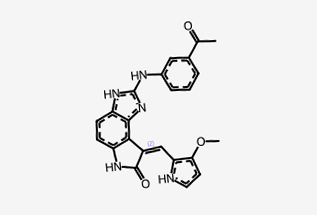 COc1cc[nH]c1/C=C1\C(=O)Nc2ccc3[nH]c(Nc4cccc(C(C)=O)c4)nc3c21